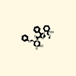 COC[C@]1(O)CCCC[C@H]1n1cnc(C(=O)N2CCNC[C@H]2COc2ccccc2)c1-c1ccccc1.Cl